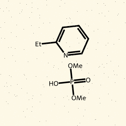 CCc1ccccn1.COP(=O)(O)OC